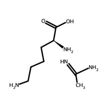 CC(=N)N.NCCCC[C@H](N)C(=O)O